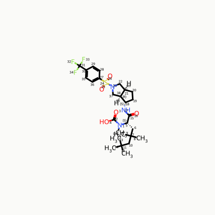 CN(C(=O)O)[C@@H](CC(C)(C)CC(C)(C)C)C(=O)N[C@H]1CC[C@@H]2CN(S(=O)(=O)c3ccc(C(F)(F)F)cc3)C[C@@H]21